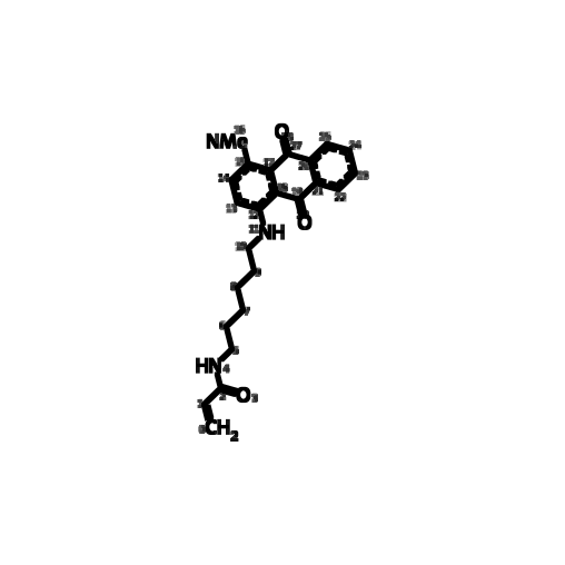 C=CC(=O)NCCCCCCNc1ccc(NC)c2c1C(=O)c1ccccc1C2=O